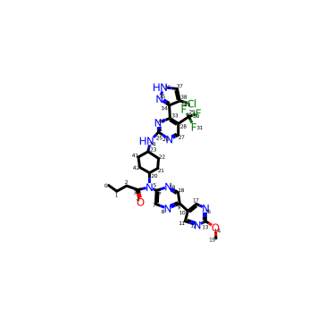 CCCC(=O)N(c1cnc(-c2cnc(OC)nc2)cn1)C1CCC(Nc2ncc(C(F)(F)F)c(-c3n[nH]cc3Cl)n2)CC1